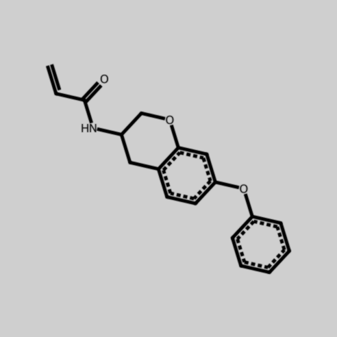 C=CC(=O)NC1COc2cc(Oc3ccccc3)ccc2C1